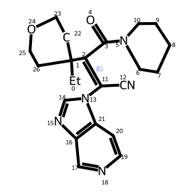 CCC1(/C(C(=O)N2CCCCC2)=C(/C#N)n2cnc3cnccc32)CCOCC1